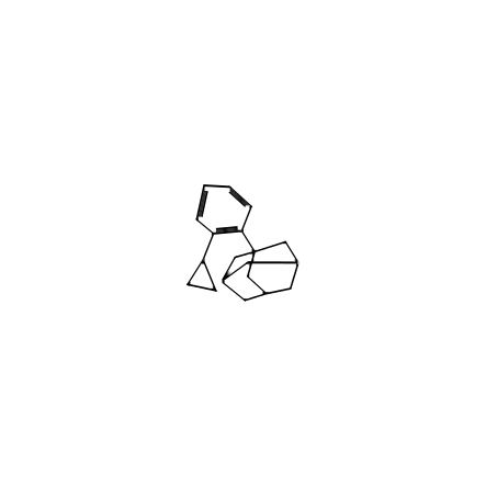 [c]1cccc(C23CC4CC(CC(C4)C2)C3)c1C1CC1